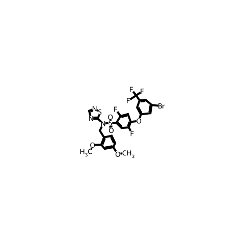 COc1ccc(CN(c2ncns2)S(=O)(=O)c2cc(F)c(Oc3cc(Br)cc(C(F)(F)F)c3)cc2F)c(OC)c1